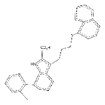 Cc1ccccc1-c1cccc2c(CCCSc3cccc4ccccc34)c(C(=O)O)[nH]c12